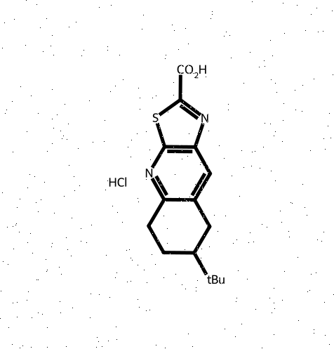 CC(C)(C)C1CCc2nc3sc(C(=O)O)nc3cc2C1.Cl